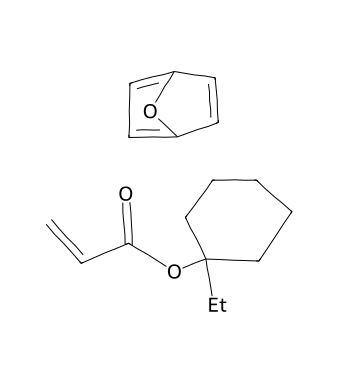 C=CC(=O)OC1(CC)CCCCC1.c1cc2ccc1o2